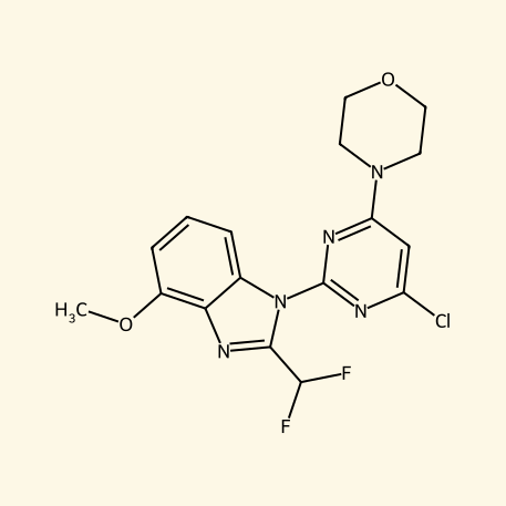 COc1cccc2c1nc(C(F)F)n2-c1nc(Cl)cc(N2CCOCC2)n1